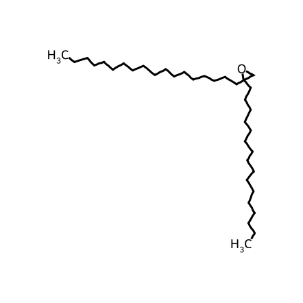 CCCCCCCCCCCCCCCCCCC1(CCCCCCCCCCCCCCCC)CO1